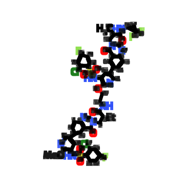 CC[C@H](Cn1cnc2ccc(-c3cnc(OC)c(NS(=O)(=O)c4ccc(F)cc4Cl)c3)cc2c1=O)C(=O)NCCOc1ncc(-c2ccc3ncn(C[C@@H](C)C(=O)N[C@H]4CC4(F)F)c(=O)c3c2)cc1NS(=O)(=O)c1ccc(F)cc1Cl